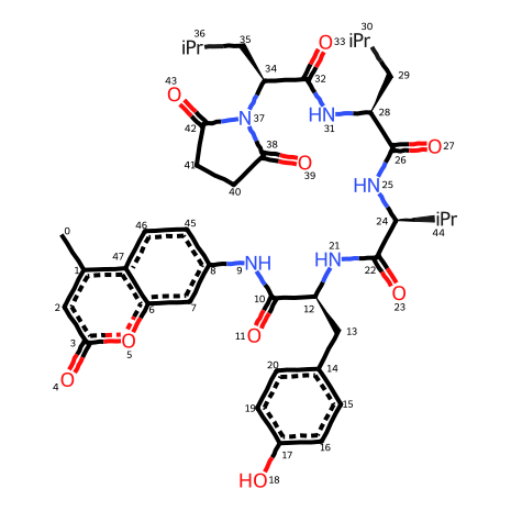 Cc1cc(=O)oc2cc(NC(=O)[C@H](Cc3ccc(O)cc3)NC(=O)[C@@H](NC(=O)[C@H](CC(C)C)NC(=O)[C@H](CC(C)C)N3C(=O)CCC3=O)C(C)C)ccc12